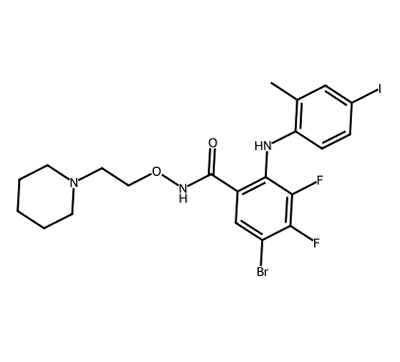 Cc1cc(I)ccc1Nc1c(C(=O)NOCCN2CCCCC2)cc(Br)c(F)c1F